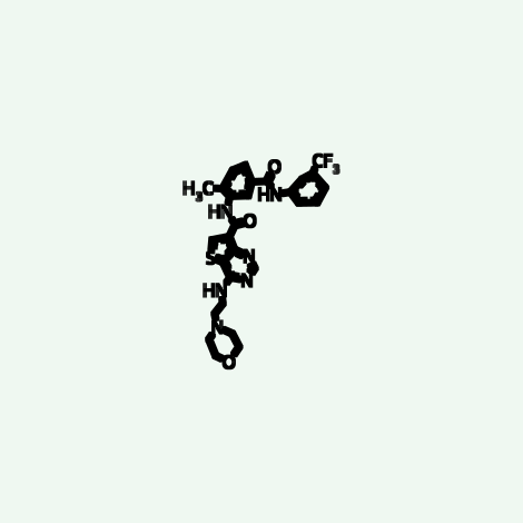 Cc1ccc(C(=O)Nc2cccc(C(F)(F)F)c2)cc1NC(=O)c1csc2c(NCCN3CCOCC3)ncnc12